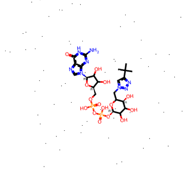 CC(C)(C)c1cn(CC2O[C@H](OP(=O)(O)OP(=O)(O)OC[C@H]3O[C@@H](n4cnc5c(=O)[nH]c(N)nc54)C(O)C3O)C(O)C(O)[C@@H]2O)nn1